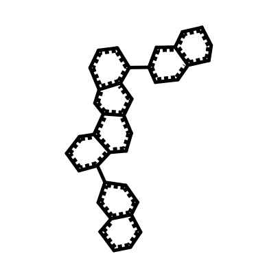 c1ccc2cc(-c3cccc4cc5c(ccc6c(-c7ccc8ccccc8c7)cccc65)cc34)ccc2c1